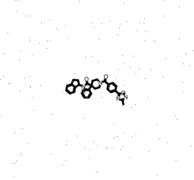 Cc1noc(-c2ccc(C(=O)N3CCC(C(=O)NC4CCc5ccccc54)(c4ccccc4)CC3)cc2)n1